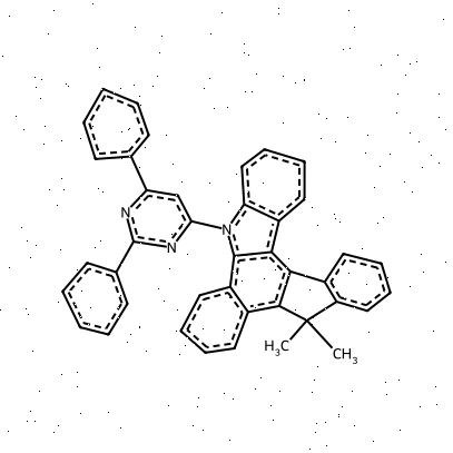 CC1(C)c2ccccc2-c2c1c1ccccc1c1c2c2ccccc2n1-c1cc(-c2ccccc2)nc(-c2ccccc2)n1